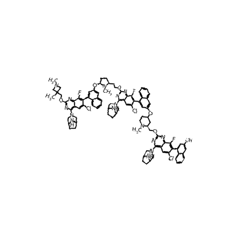 CN1CC(C)(COc2nc(N3CC4CCC(C3)N4)c3cc(Cl)c(-c4cc(OC5CCC(CCOc6nc(N7CC8CCC(C7)N8)c7cc(Cl)c(-c8cc(OC9CCN(C)[C@H](COc%10nc(N%11CC%12CCC(C%11)N%12)c%11cc(Cl)c(-c%12cc(O)cc%13ccccc%12%13)c(F)c%11n%10)C9)cc9ccccc89)c(F)c7n6)N5C)cc5ccccc45)c(F)c3n2)C1